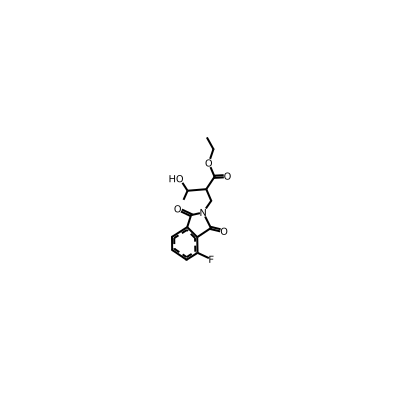 CCOC(=O)C(CN1C(=O)c2cccc(F)c2C1=O)C(C)O